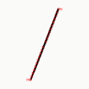 OCCCOCCCOCCCOCCCOCCCOCCCOCCCOCCCOCCCOCCCOCCCCCCOCCCOCCCOCCCOCCCOCCCOCCCOCCCOCCCOCCCOCCCO